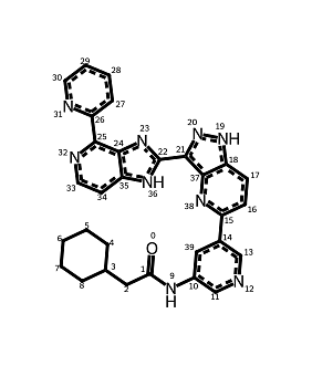 O=C(CC1CCCCC1)Nc1cncc(-c2ccc3[nH]nc(-c4nc5c(-c6ccccn6)nccc5[nH]4)c3n2)c1